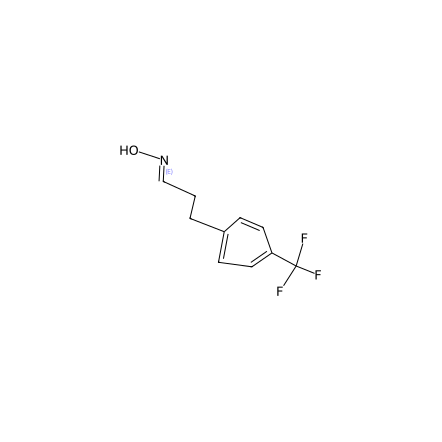 O/N=C/CCc1ccc(C(F)(F)F)cc1